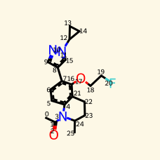 CC(=O)N1c2ccc(-c3cnn(C4CC4)c3)c(OCCF)c2CCC1C